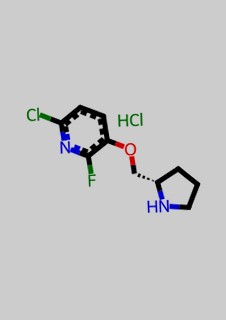 Cl.Fc1nc(Cl)ccc1OC[C@@H]1CCCN1